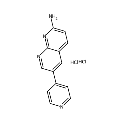 Cl.Cl.Nc1ccc2cc(-c3ccncc3)cnc2n1